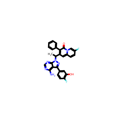 CC(c1cc2ccc(F)cn2c(=O)c1-c1ccccc1)n1nc(-c2ccc(F)c(O)c2)c2c(N)ncnc21